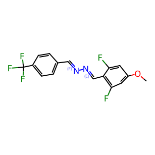 COc1cc(F)c(/C=N/N=C/c2ccc(C(F)(F)F)cc2)c(F)c1